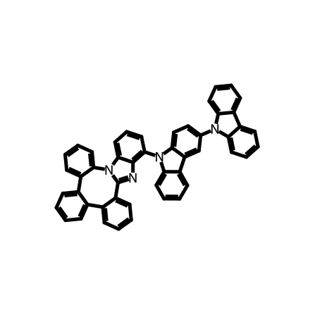 c1ccc2c(c1)-c1ccccc1-c1nc3c(-n4c5ccccc5c5cc(-n6c7ccccc7c7ccccc76)ccc54)cccc3n1-c1ccccc1-2